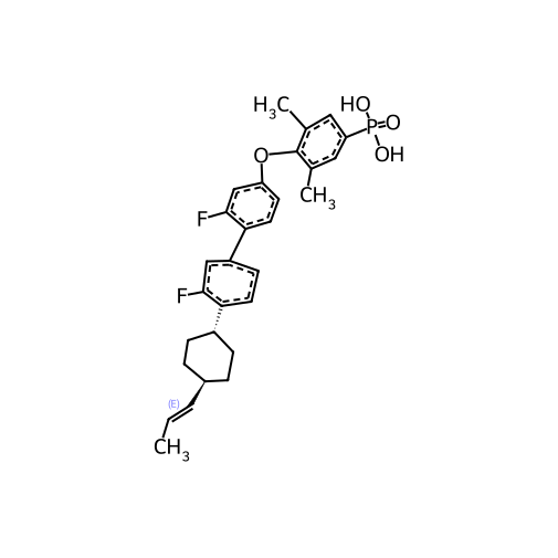 C/C=C/[C@H]1CC[C@H](c2ccc(-c3ccc(Oc4c(C)cc(P(=O)(O)O)cc4C)cc3F)cc2F)CC1